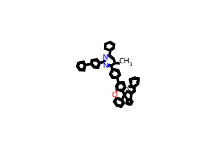 CCC1C=C(C2=CC=CCC2)N=C(c2ccc(-c3ccccc3)cc2)N=C1c1ccc(-c2ccc3c(c2)Oc2ccccc2C32c3ccccc3-c3cc4ccccc4cc32)cc1